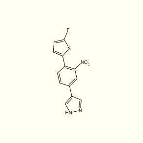 O=[N+]([O-])c1cc(-c2cn[nH]c2)ccc1-c1ccc(F)s1